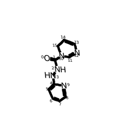 O=C(NNc1ccccn1)N1C=NC=CC1